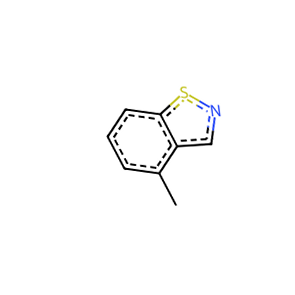 Cc1cccc2sncc12